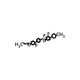 C=CCCOc1ccc(-c2ccc(COc3ccc(C4CCC(C)CC4)c(F)c3F)cc2)c(F)c1